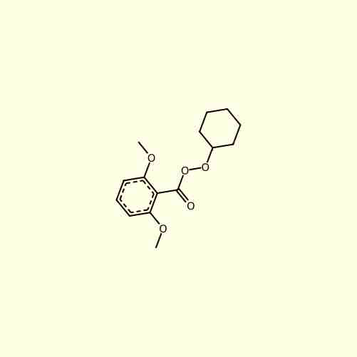 COc1cccc(OC)c1C(=O)OO[C]1CCCCC1